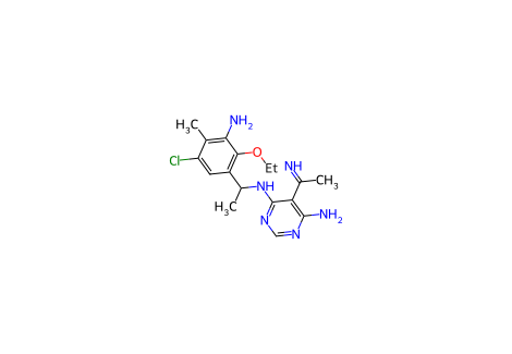 CCOc1c(C(C)Nc2ncnc(N)c2C(C)=N)cc(Cl)c(C)c1N